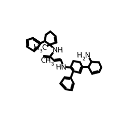 C/C=C(\C=C\NC1=C(c2ccccc2)C=C(C2C=CCCC2N)CC1)NC1(C)C=CCCC1c1ccccc1